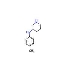 Cc1ccc(NC2CCCNC2)cc1